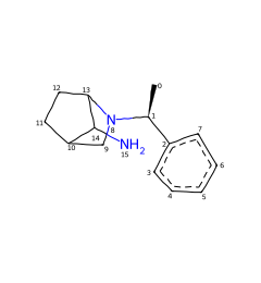 C[C@@H](c1ccccc1)N1CC2CCC1C2N